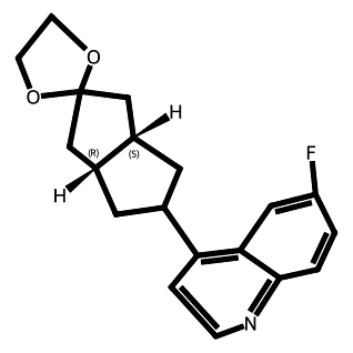 Fc1ccc2nccc(C3C[C@@H]4CC5(C[C@@H]4C3)OCCO5)c2c1